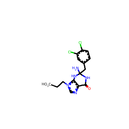 NC1(Cc2ccc(Cl)c(Cl)c2)NC(=O)c2ncn(CCC(=O)O)c2N1